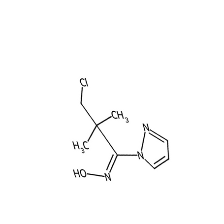 CC(C)(CCl)C(=NO)n1cccn1